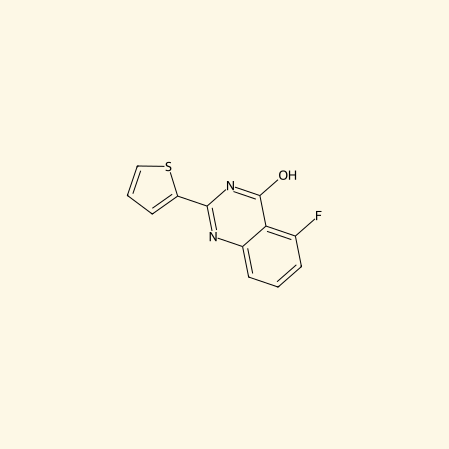 Oc1nc(-c2cccs2)nc2cccc(F)c12